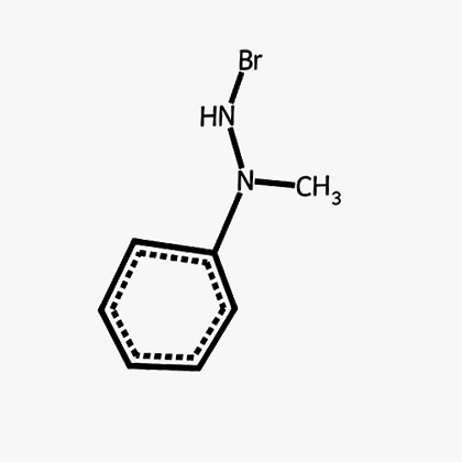 CN(NBr)c1ccccc1